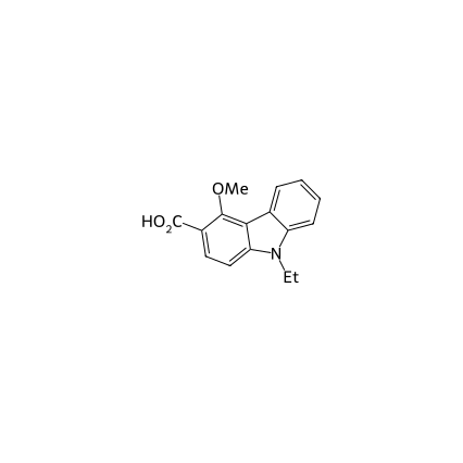 CCn1c2ccccc2c2c(OC)c(C(=O)O)ccc21